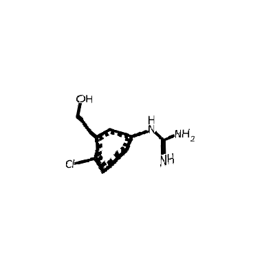 N=C(N)Nc1ccc(Cl)c(CO)c1